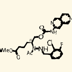 COC(=O)CCC[C@@H](COC(=O)Nc1cc2cnccc2cn1)N(NCc1cccc(F)c1Cl)C(C)=O